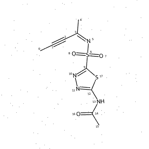 CC#C/C(C)=N\S(=O)(=O)c1nnc(NC(C)=O)s1